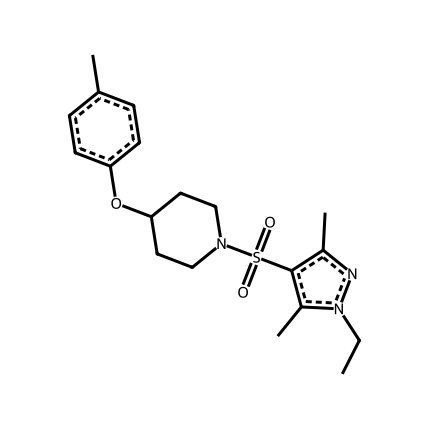 CCn1nc(C)c(S(=O)(=O)N2CCC(Oc3ccc(C)cc3)CC2)c1C